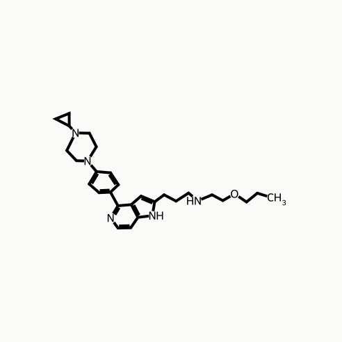 CCCOCCNCCCc1cc2c(-c3ccc(N4CCN(C5CC5)CC4)cc3)nccc2[nH]1